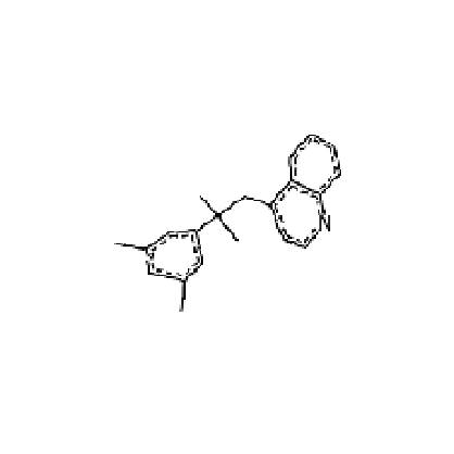 Cc1cc(C)cc(C(C)(C)Cc2ccnc3ccccc23)c1